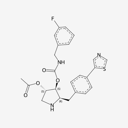 CC(=O)O[C@H]1CN[C@H](Cc2ccc(-c3cncs3)cc2)[C@@H]1OC(=O)NCc1cccc(F)c1